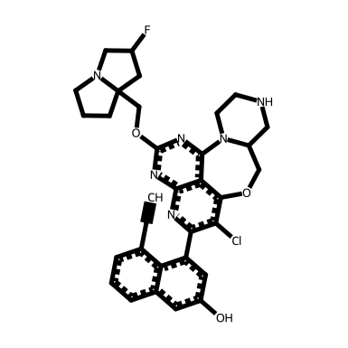 C#Cc1cccc2cc(O)cc(-c3nc4nc(OCC56CCCN5CC(F)C6)nc5c4c(c3Cl)OCC3CNCCN53)c12